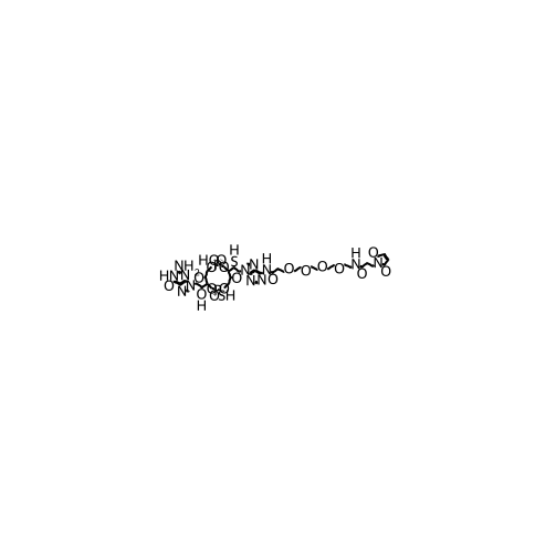 Nc1nc2c(ncn2C2OC3COP(=O)(O)OC4C(COP(=O)(S)OC3C2O)OC(n2cnc3c(NC(=O)CCOCCOCCOCCOCCNC(=O)CCN5C(=O)C=CC5=O)ncnc32)C4S)c(=O)[nH]1